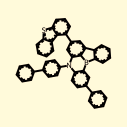 c1ccc(-c2ccc(N3c4ccc(-c5ccccc5)cc4B4c5ccccc5-c5cc(-c6cccc7sc8ccccc8c67)cc3c54)cc2)cc1